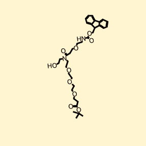 CC(C)(C)OC(=O)CCOCCOCCOCCN(CCO)C(=O)CCOCCNC(=O)OCC1c2ccccc2-c2ccccc21